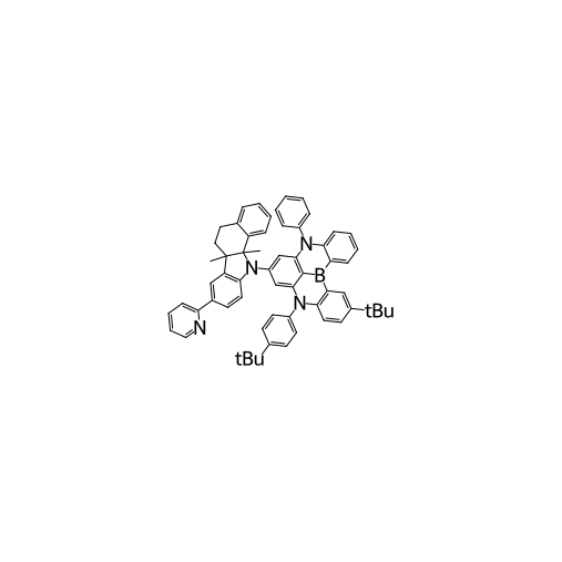 CC(C)(C)c1ccc(N2c3ccc(C(C)(C)C)cc3B3c4ccccc4N(c4ccccc4)c4cc(N5c6ccc(-c7ccccn7)cc6C6(C)CCc7ccccc7C56C)cc2c43)cc1